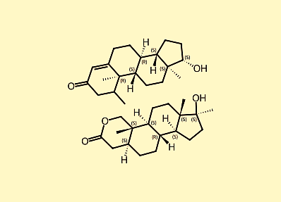 CC1CC(=O)C=C2CC[C@H]3[C@@H]4CC[C@H](O)[C@@]4(C)CC[C@@H]3[C@]21C.C[C@]12COC(=O)C[C@@H]1CC[C@@H]1[C@@H]2CC[C@@]2(C)[C@H]1CC[C@]2(C)O